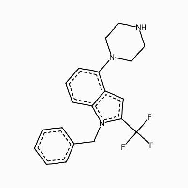 FC(F)(F)c1cc2c(N3CCNCC3)cccc2n1Cc1ccccc1